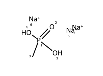 CP(=O)(O)O.[Na+].[Na+].[Na+]